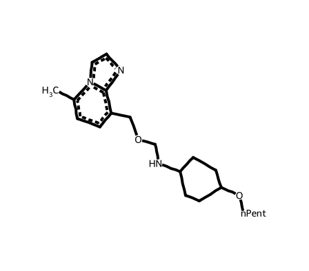 CCCCCOC1CCC(NCOCc2ccc(C)n3ccnc23)CC1